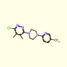 Cc1c(Cl)nnc(N2CCN(c3ccc(C(F)(F)F)cn3)CC2)c1C